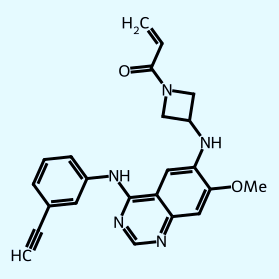 C#Cc1cccc(Nc2ncnc3cc(OC)c(NC4CN(C(=O)C=C)C4)cc23)c1